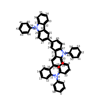 c1ccc(N(c2ccccc2)c2ccccc2-c2ccc3c(c2)c2cc(-c4ccc5c(c4)c4ccccc4n5-c4ccccc4)ccc2n3-c2ccccc2)cc1